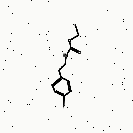 CCOC(=O)NCCc1ccc(F)cc1